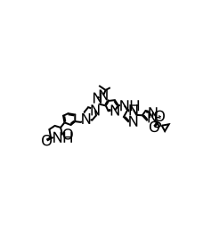 CC(C)n1nc(N2CCN(Cc3cccc(C4CCC(=O)NC4=O)c3)CC2)c2cnc(Nc3ccnc(-c4cnn(S(=O)(=O)C5CC5)c4)n3)cc21